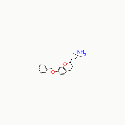 CC(C)(N)CC[C@H]1CCc2ccc(OCc3ccccc3)cc2O1